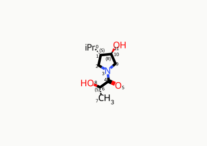 CC(C)[C@H]1CN(C(=O)[C@H](C)O)C[C@@H]1O